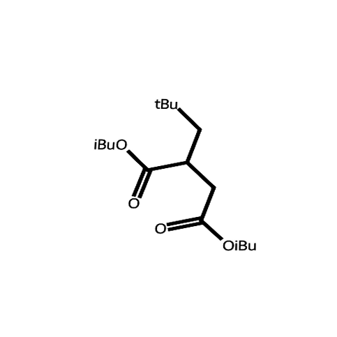 CC(C)COC(=O)CC(CC(C)(C)C)C(=O)OCC(C)C